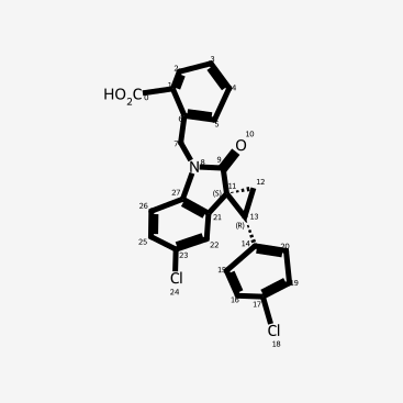 O=C(O)c1ccccc1CN1C(=O)[C@]2(C[C@@H]2c2ccc(Cl)cc2)c2cc(Cl)ccc21